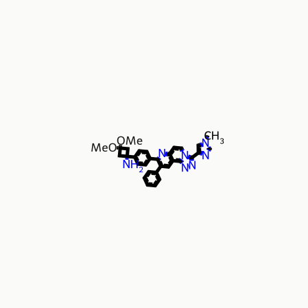 COC1(OC)CC(N)(c2ccc(-c3nc4ccn5c(-c6cn(C)cn6)nnc5c4cc3-c3ccccc3)cc2)C1